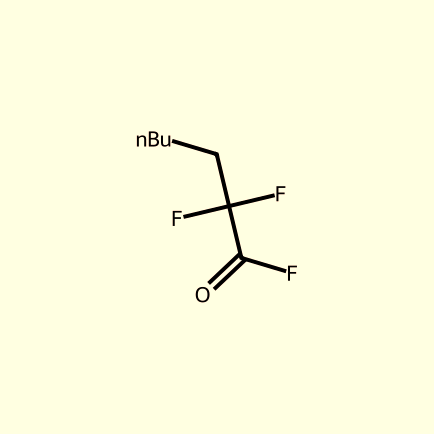 CCCCCC(F)(F)C(=O)F